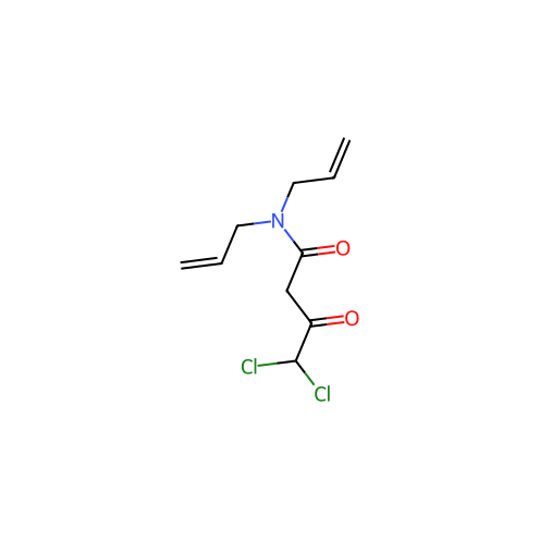 C=CCN(CC=C)C(=O)CC(=O)C(Cl)Cl